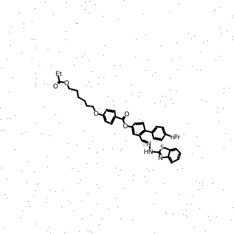 CCCc1ccc(-c2ccc(OC(=O)c3ccc(OCCCCCCOC(=O)CC)cc3)cc2/C=N/Nc2nc3ccccc3s2)cc1